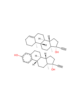 C#C[C@]1(O)CC[C@H]2[C@@H]3CCC4=CCCC[C@]4(C)[C@H]3CC[C@@]21C.C#C[C@]1(O)CC[C@H]2[C@@H]3CCc4cc(O)ccc4[C@H]3CC[C@@]21C